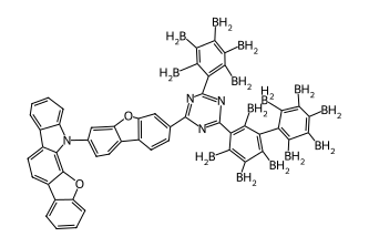 Bc1c(B)c(B)c(-c2nc(-c3ccc4c(c3)oc3cc(-n5c6ccccc6c6ccc7c8ccccc8oc7c65)ccc34)nc(-c3c(B)c(B)c(B)c(-c4c(B)c(B)c(B)c(B)c4B)c3B)n2)c(B)c1B